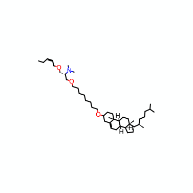 CC/C=C\COC[C@@H](COCCCCCCCCOC1CC[C@@]2(C)C(=CC[C@H]3[C@@H]4CC[C@H]([C@H](C)CCCC(C)C)[C@@]4(C)CC[C@@H]32)C1)N(C)C